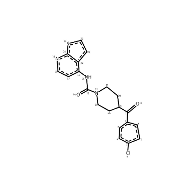 O=C(c1ccc(Cl)cc1)C1CCN(C(=O)Nc2ccnc3sccc23)CC1